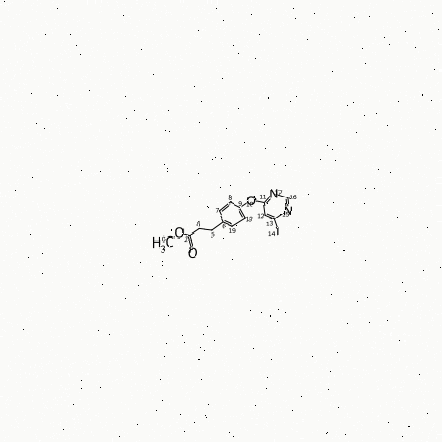 COC(=O)CCc1ccc(Oc2cc(I)ncn2)cc1